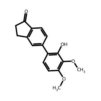 COc1ccc(-c2ccc3c(c2)CCC3=O)c(O)c1OC